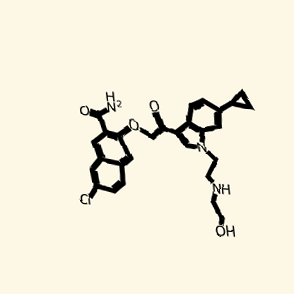 NC(=O)c1cc2cc(Cl)ccc2cc1OCC(=O)c1cn(CCNCCO)c2cc(C3CC3)ccc12